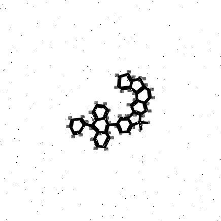 CC1(C)c2ccc(-c3c4ccccc4c(-c4ccccc4)c4ccccc34)cc2-c2cc3c(ccc4sc5ccccc5c43)cc21